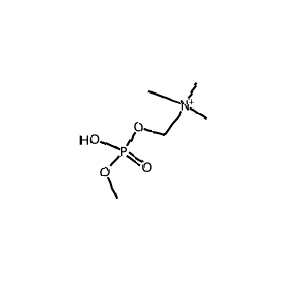 COP(=O)(O)OC[N+](C)(C)C